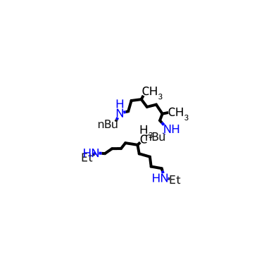 CCCCNCCC(C)CCC(C)CNCCCC.CCNCCCCC(C)CCCCNCC